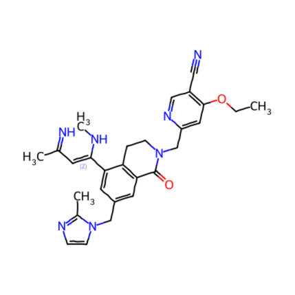 CCOc1cc(CN2CCc3c(cc(Cn4ccnc4C)cc3/C(=C/C(C)=N)NC)C2=O)ncc1C#N